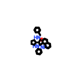 O=C(NCc1ccccc1)C(C1CCCC1)C1(c2cccc3ccccc23)Nc2ccccc2N1